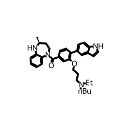 CCCCN(CC)CCCOc1cc(C(=O)N2CC[C@H](C)Nc3ccccc32)ccc1-c1ccc2[nH]ccc2c1